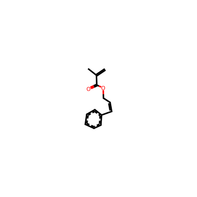 C=C(C)C(=O)OC/C=C\c1ccccc1